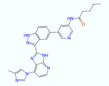 CCCCC(=O)Nc1cncc(-c2ccc3[nH]nc(-c4nc5c(-n6cnc(C)c6)ccnc5[nH]4)c3c2)c1